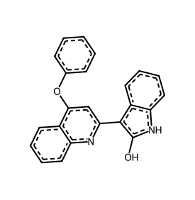 Oc1[nH]c2ccccc2c1-c1cc(Oc2ccccc2)c2ccccc2n1